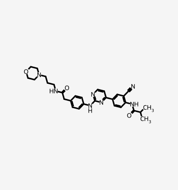 CC(C)C(=O)Nc1ccc(-c2ccnc(Nc3ccc(CC(=O)NCCCN4CCOCC4)cc3)n2)cc1C#N